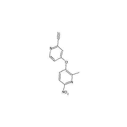 C#Cc1cc(Oc2ccc([N+](=O)[O-])nc2C)ccn1